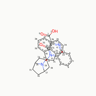 O=C(O)c1nc2ccccc2n(C2CC3CCC(C2)N3C2Cc3cccc4cccc2c34)c1=O